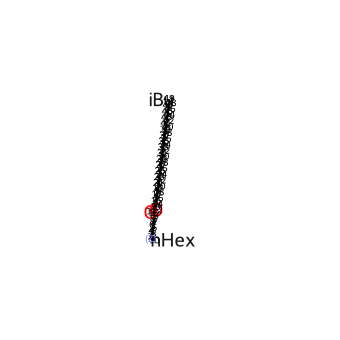 CCCCCC/C=C\CCCCCCCC(=O)OCCCCCCCCCCCCCCCCCCCCCCCCCCCCCCCCCCCCC(C)CC